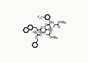 CC(C)(C)OC(=O)CC[C@H](NC(=O)[C@H](CC(=O)OC(C)(C)C)NC(=O)[C@H](Cc1ccc2ccccc2c1)NC(=O)OCc1ccccc1)C(=O)Nc1cccc(C(F)(F)F)c1